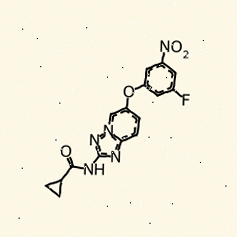 O=C(Nc1nc2ccc(Oc3cc(F)cc([N+](=O)[O-])c3)cn2n1)C1CC1